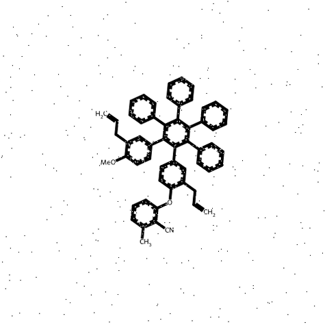 C=CCc1cc(-c2c(-c3ccccc3)c(-c3ccccc3)c(-c3ccccc3)c(-c3ccccc3)c2-c2ccc(Oc3cccc(C)c3C#N)c(CC=C)c2)ccc1OC